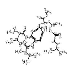 COC(=O)[C@](N)(Cc1ccc(OC(=O)C(C)C(C)C)c(OC(=O)C(C)C(C)C)c1)CC(C)OC(=O)CCC(C)C